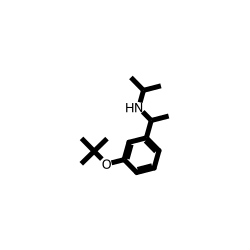 CC(C)NC(C)c1cccc(OC(C)(C)C)c1